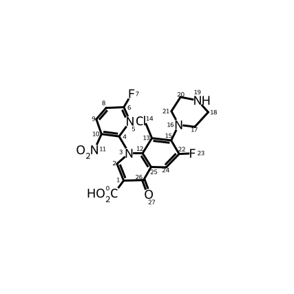 O=C(O)c1cn(-c2nc(F)ccc2[N+](=O)[O-])c2c(Cl)c(N3CCNCC3)c(F)cc2c1=O